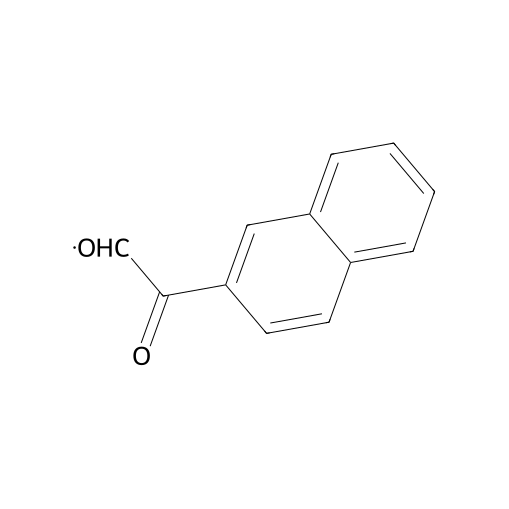 O=[C]C(=O)c1ccc2ccccc2c1